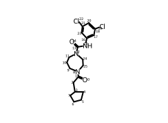 O=C(CC1CCCC1)N1CCCN(C(=O)Nc2cc(Cl)cc(Cl)c2)CC1